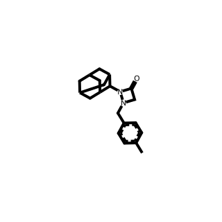 Cc1ccc(CN2CC(=O)N2C2C3CC4CC(C3)CC2C4)cc1